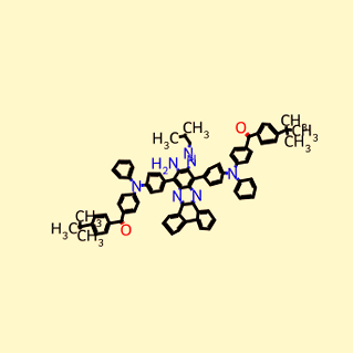 CC(C)C/N=N/c1c(N)c(-c2ccc(N(c3ccccc3)c3ccc(C(=O)c4ccc(C(C)(C)C)cc4)cc3)cc2)c2nc3c4ccccc4c4ccccc4c3nc2c1-c1ccc(N(c2ccccc2)c2ccc(C(=O)c3ccc(C(C)(C)C)cc3)cc2)cc1